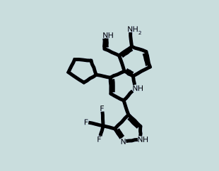 N=Cc1c(N)ccc2c1C(C1CCCC1)=CC(c1c[nH]nc1C(F)(F)F)N2